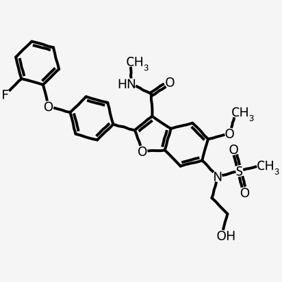 CNC(=O)c1c(-c2ccc(Oc3ccccc3F)cc2)oc2cc(N(CCO)S(C)(=O)=O)c(OC)cc12